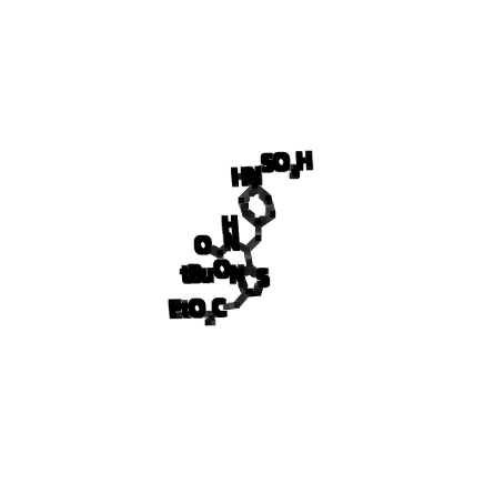 CCOC(=O)Cc1csc(C(Cc2ccc(NS(=O)(=O)O)cc2)NC(=O)OC(C)(C)C)n1